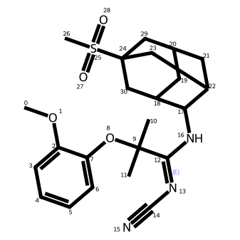 COc1ccccc1OC(C)(C)/C(=N\C#N)NC1C2CC3CC1CC(S(C)(=O)=O)(C3)C2